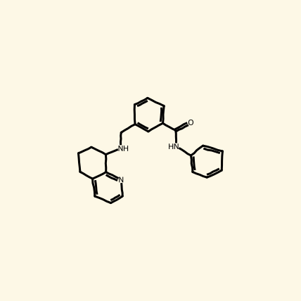 O=C(Nc1ccccc1)c1cccc(CNC2CCCc3cccnc32)c1